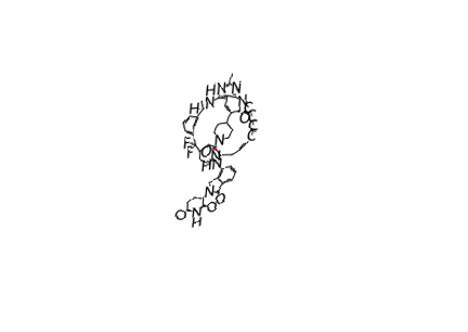 Cc1nc2c3cc(C4CCN(C(=O)CNc5cccc6c5CN(C5CCC(=O)NC5=O)C6=O)CC4)c(=O)n(c3n1)CCCC/C=C\CN1CCC(CC1)C(F)(F)c1cccc(c1)[C@@H](C)N2